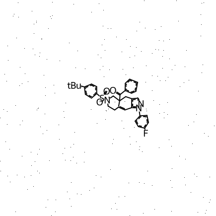 CC(C)(C)c1ccc(S(=O)(=O)N2CCC3=Cc4c(cnn4-c4ccc(F)cc4)CC3(C(=O)c3ccccc3)C2)cc1